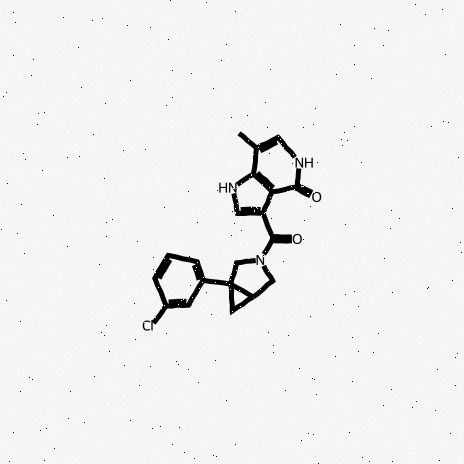 Cc1c[nH]c(=O)c2c(C(=O)N3CC4CC4(c4cccc(Cl)c4)C3)c[nH]c12